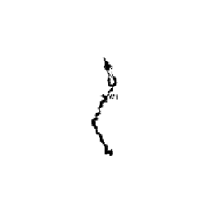 C=C(CCCCCCC/C=C\CCCCCCCC)NCCC1CCN(CCC)CC1